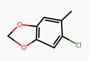 Cc1cc2c(cc1Cl)OCO2